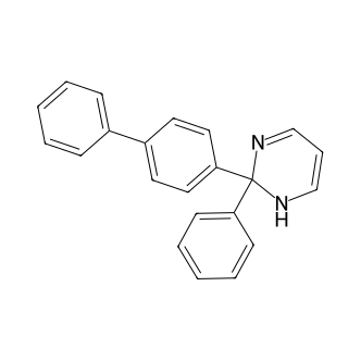 C1=CNC(c2ccccc2)(c2ccc(-c3ccccc3)cc2)N=C1